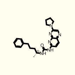 C[C@H](CCCc1ccccc1)NC(=O)Nc1ccc2ncc(N3CCCC3)nc2n1